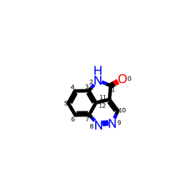 O=C1Nc2cccc3nncc1c23